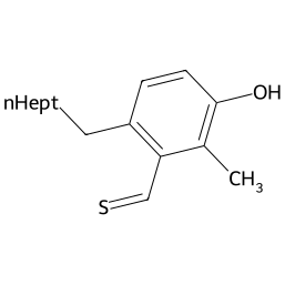 CCCCCCCCc1ccc(O)c(C)c1C=S